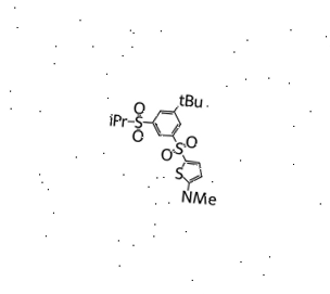 CNc1ccc(S(=O)(=O)c2cc(C(C)(C)C)cc(S(=O)(=O)C(C)C)c2)s1